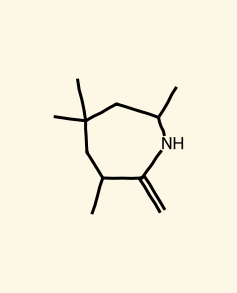 C=C1NC(C)CC(C)(C)CC1C